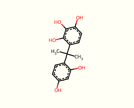 CC(C)(c1ccc(O)cc1O)c1ccc(O)c(O)c1O